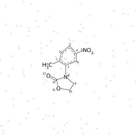 Cc1ccc([N+](=O)[O-])cc1N1CCOC1=O